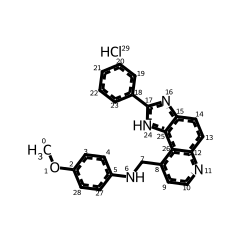 COc1ccc(NCc2ccnc3ccc4nc(-c5ccccc5)[nH]c4c23)cc1.Cl